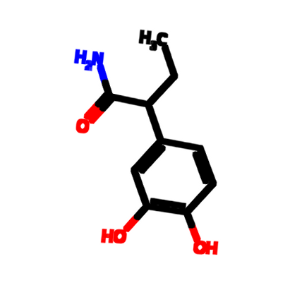 CCC(C(N)=O)c1ccc(O)c(O)c1